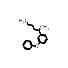 CCCCC(C)c1cccc(Oc2ccccc2)c1